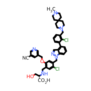 CN1CCC2(CC1)CCN(Cc1cccc(-c3cccc4c3cnn4Cc3cc(OCc4cncc(C#N)c4)c(CN[C@@H](CO)C(=O)O)cc3Cl)c1Cl)CC2